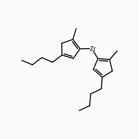 CCCCC1=C[C]([Zr][C]2=C(C)CC(CCCC)=C2)=C(C)C1